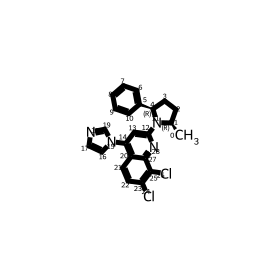 C[C@@H]1CC[C@H](c2ccccc2)N1c1cc(-n2ccnc2)c2ccc(Cl)c(Cl)c2n1